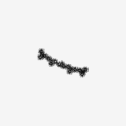 CC1(C)c2cc(-c3ccc(/C=C(\c4ccccc4)c4ccc(-c5ccc6c(c5)c5ccccc5n6-c5ccccc5)cc4)cc3)ccc2-c2ccc(-c3ccc(/C=C(\c4ccccc4)c4ccc(-c5ccc6c(c5)c5ccccc5n6-c5ccccc5)cc4)cc3)cc21